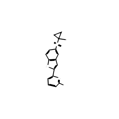 CC(C)(C)c1cccc(-c2cc3cc(S(=O)(=O)C4(C(=O)O)CC4)ccc3[nH]2)n1